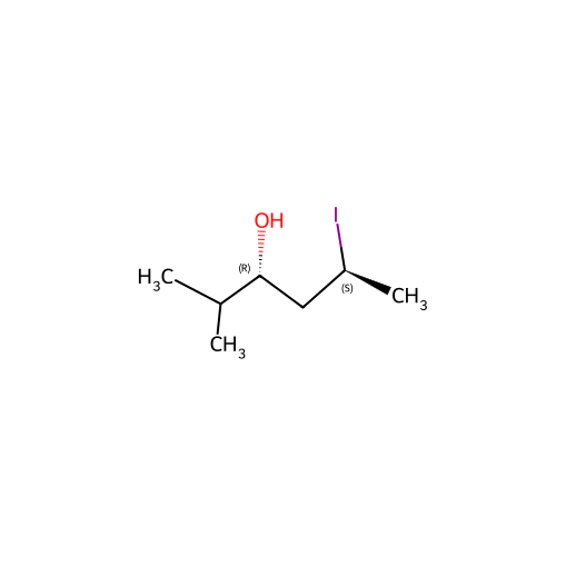 CC(C)[C@H](O)C[C@H](C)I